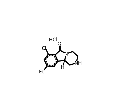 CCc1cc(Cl)c2c(c1)[C@H]1CNCCN1C2=O.Cl